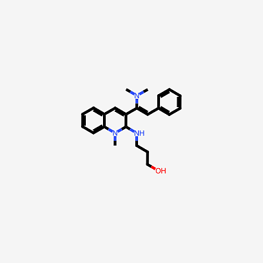 CN(C)C(=Cc1ccccc1)C1=Cc2ccccc2N(C)C1NCCCO